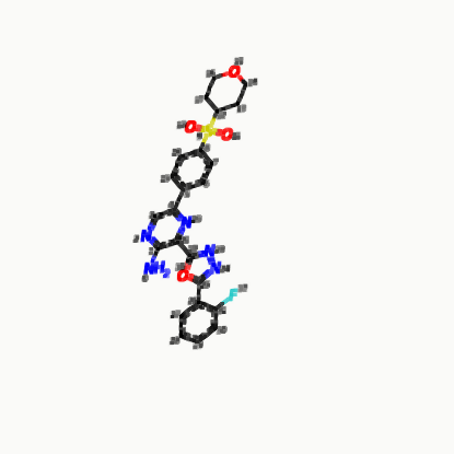 Nc1ncc(-c2ccc(S(=O)(=O)C3CCOCC3)cc2)nc1-c1nnc(-c2ccccc2F)o1